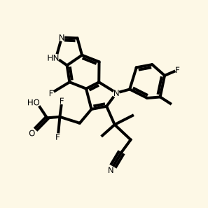 Cc1cc(-n2c(C(C)(C)CC#N)c(CC(F)(F)C(=O)O)c3c(F)c4[nH]ncc4cc32)ccc1F